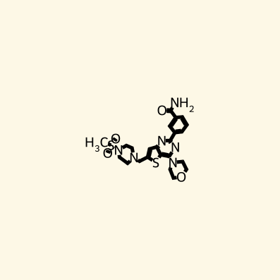 CS(=O)(=O)N1CCN(Cc2cc3nc(-c4cccc(C(N)=O)c4)nc(N4CCOCC4)c3s2)CC1